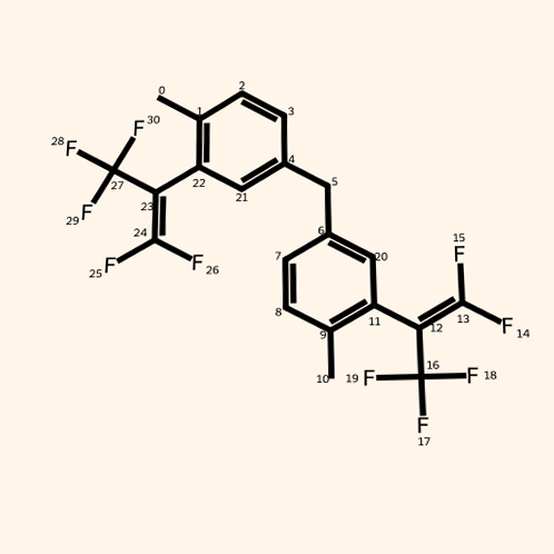 Cc1ccc(Cc2ccc(C)c(C(=C(F)F)C(F)(F)F)c2)cc1C(=C(F)F)C(F)(F)F